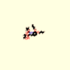 CCCCOc1ccc(C[C@H](NC(=O)OC(C)(C)C)C(=O)OC(C)C(C)O)cc1OCCCC